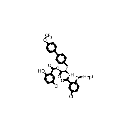 CCCCCCCOc1ccc(Cl)cc1C(=O)N[C@@H](Cc1ccc(-c2ccc(OC(F)(F)F)cc2)cc1)C(=O)OC(=O)c1cc(Cl)ccc1O